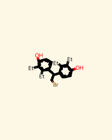 CCc1c(O)ccc(C(CBr)c2ccc(O)c(CC)c2CC)c1CC